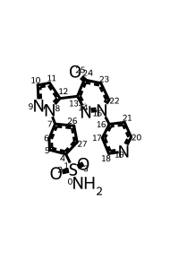 NS(=O)(=O)c1ccc(-n2nccc2-c2nn(-c3ccncc3)ccc2=O)cc1